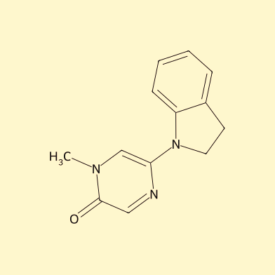 Cn1cc(N2CCc3ccccc32)ncc1=O